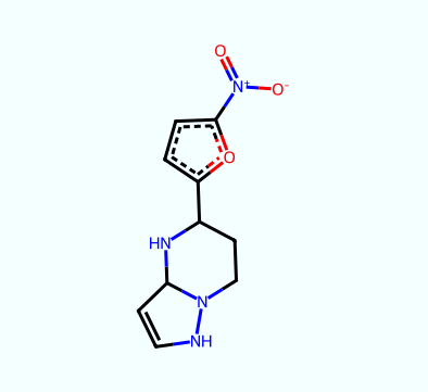 O=[N+]([O-])c1ccc(C2CCN3NC=CC3N2)o1